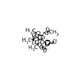 CC(=O)OC[C@H]1O[C@@H](Oc2ccc(CCl)cc2[N+](=O)[O-])[C@H](OC(C)=O)[C@@H](OC(C)=O)[C@H]1OC(C)=O